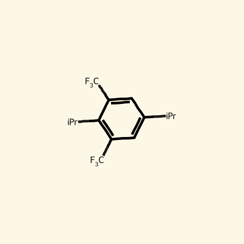 CC(C)c1cc(C(F)(F)F)c(C(C)C)c(C(F)(F)F)c1